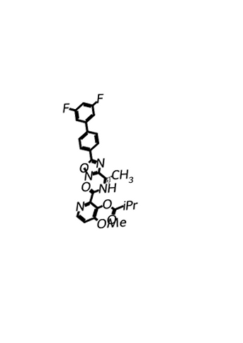 COc1ccnc(C(=O)N[C@@H](C)c2noc(-c3ccc(-c4cc(F)cc(F)c4)cc3)n2)c1OC(=O)C(C)C